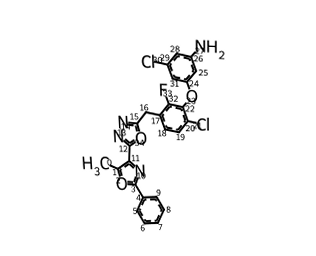 Cc1oc(-c2ccccc2)nc1-c1nnc(Cc2ccc(Cl)c(Oc3cc(N)cc(Cl)c3)c2F)o1